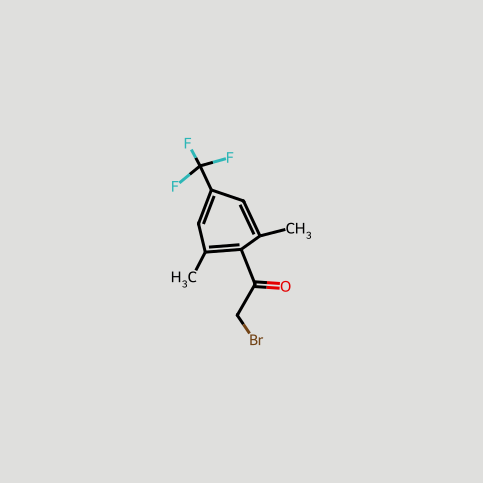 Cc1cc(C(F)(F)F)cc(C)c1C(=O)CBr